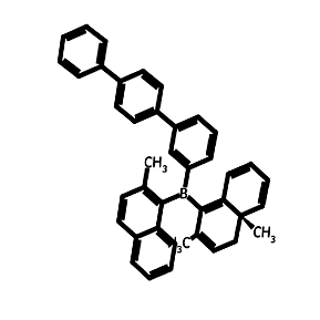 CC1=CC[C@@]2(C)C=CC=CC2=C1B(c1cccc(-c2ccc(-c3ccccc3)cc2)c1)c1c(C)ccc2ccccc12